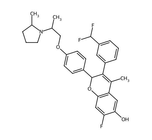 CC1=C(c2cccc(C(F)F)c2)C(c2ccc(OCC(C)N3CCCC3C)cc2)Oc2cc(F)c(O)cc21